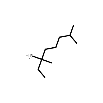 BC(C)(CC)CCCC(C)C